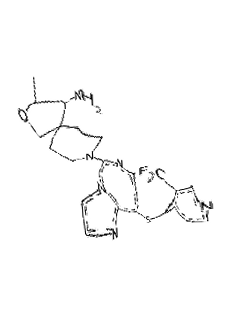 CC1OCC2(CCN(c3ncc(Sc4ccncc4C(F)(F)F)c4nccn34)CC2)C1N